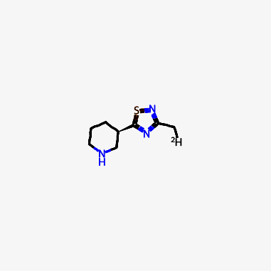 [2H]Cc1nsc([C@@H]2CCCNC2)n1